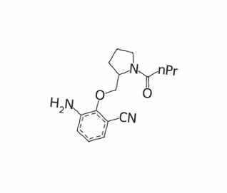 CCCC(=O)N1CCCC1COc1c(N)cccc1C#N